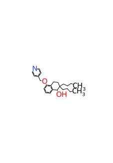 CCCCC1(CCCC)CCc2c(OCc3ccncc3)cccc2C1O